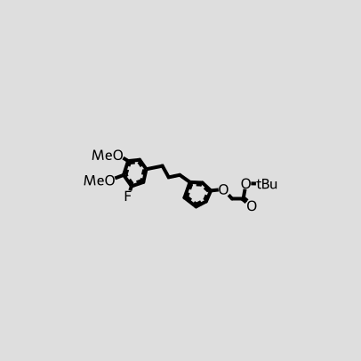 COc1cc(CCCc2cccc(OCC(=O)OC(C)(C)C)c2)cc(F)c1OC